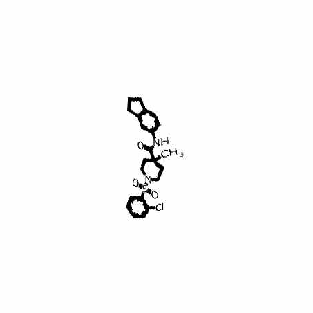 CC1(C(=O)Nc2ccc3c(c2)CCC3)CCN(S(=O)(=O)c2ccccc2Cl)CC1